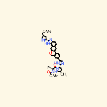 COCC1CN[C@H](c2nc3ccc4cc5c(cc4c3[nH]2)OCc2cc(-c3cnc([C@@H]4C[C@H](C)CN4C(=O)[C@@H](NC(=O)OC)C(C)C)[nH]3)ccc2-5)C1